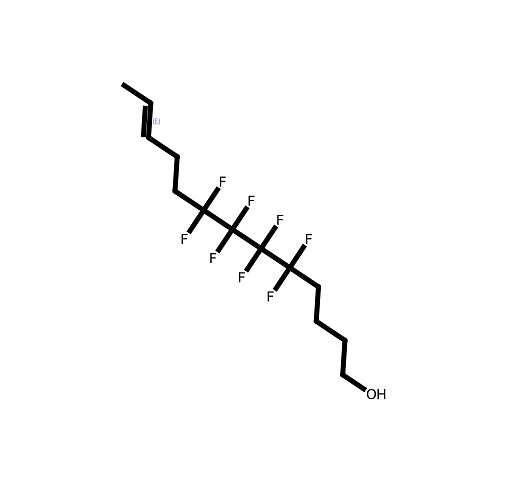 C/C=C/CCC(F)(F)C(F)(F)C(F)(F)C(F)(F)CCCCO